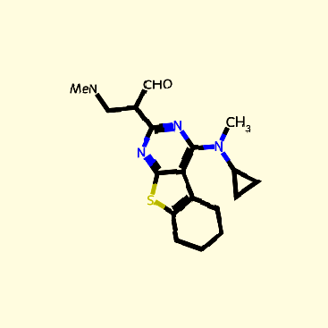 CNCC(C=O)c1nc(N(C)C2CC2)c2c3c(sc2n1)CCCC3